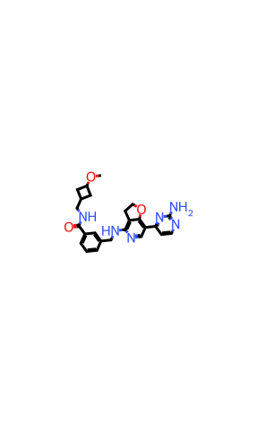 COC1CC(CNC(=O)c2cccc(CNc3ncc(-c4ccnc(N)n4)c4c3CCO4)c2)C1